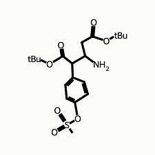 CC(C)(C)OC(=O)CC(N)C(C(=O)OC(C)(C)C)c1ccc(OS(C)(=O)=O)cc1